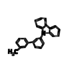 Cc1cccc(-c2cccc(-n3c4ccccc4c4ccccc43)c2)c1